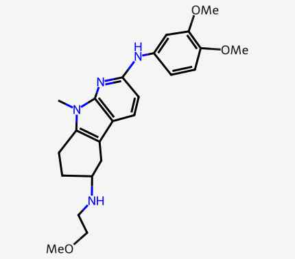 COCCNC1CCc2c(c3ccc(Nc4ccc(OC)c(OC)c4)nc3n2C)C1